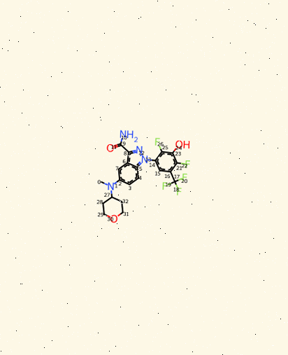 CN(c1ccc2c(c1)c(C(N)=O)nn2-c1cc(C(F)(F)F)c(F)c(O)c1F)C1CCOCC1